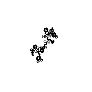 CCC(C)(C)C(=O)C(=O)N1CCCC[C@H]1C(=O)O[C@H](CCc1ccc(OC)c(OC)c1)c1cccc(NC(=O)CCC(=O)NC(CC(=O)N[C@@H](Cc2ccccc2)[C@H](O)CN(CC(C)C)S(=O)(=O)c2ccc(OC)cc2)Cc2ccco2)c1